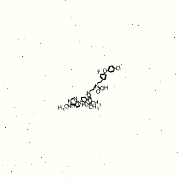 CNc1ncnc2c1ccn2[C@@H]1C[C@H](CNCCCN(CCc2ccc(Oc3ccc(Cl)cc3)c(F)c2)C(=O)O)[C@H]2OC(C)(C)O[C@H]21